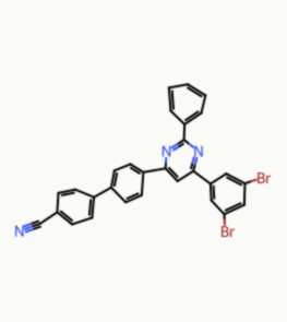 N#Cc1ccc(-c2ccc(-c3cc(-c4cc(Br)cc(Br)c4)nc(-c4ccccc4)n3)cc2)cc1